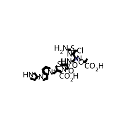 C[C@H](O/N=C(\C(=O)N[C@@H]1C(=O)N2C(C(=O)O)=C(C[n+]3cccc4c3ccn4[C@H]3CCNC3)CS[C@H]12)c1nc(N)sc1Cl)C(=O)O